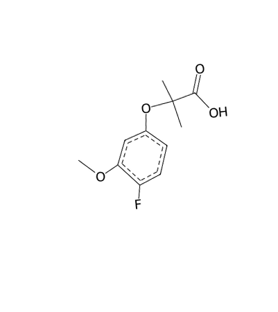 COc1cc(OC(C)(C)C(=O)O)ccc1F